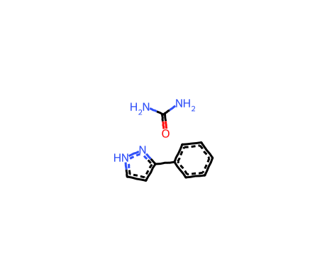 NC(N)=O.c1ccc(-c2cc[nH]n2)cc1